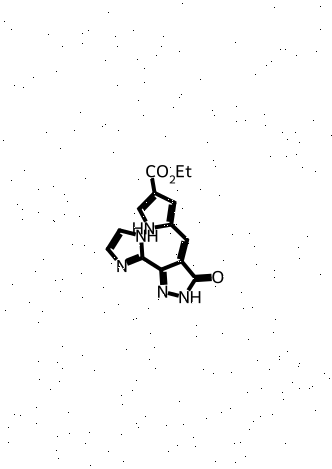 CCOC(=O)c1c[nH]c(/C=C2/C(=O)NN=C2c2ncc[nH]2)c1